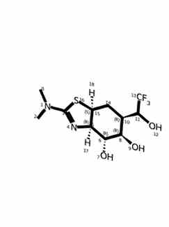 CN(C)C1=N[C@@H]2[C@@H](O)[C@H](O)[C@H](C(O)C(F)(F)F)C[C@@H]2S1